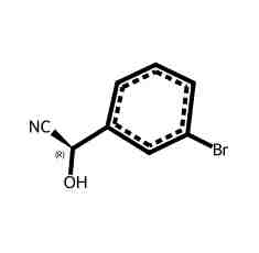 N#C[C@H](O)c1cccc(Br)c1